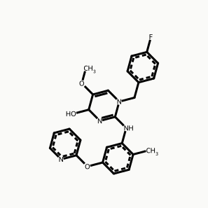 COC1=CN(Cc2ccc(F)cc2)C(Nc2cc(Oc3ccccn3)ccc2C)=NC1O